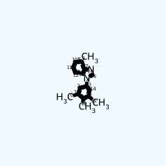 Cc1cc(-n2cnc3c(C)cccc32)cc(C)c1C